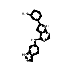 Nc1cccc(-c2cc3c(Nc4ccc5cn[nH]c5c4)ncnc3[nH]2)c1